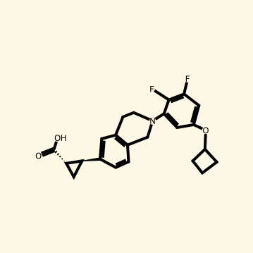 O=C(O)[C@H]1C[C@@H]1c1ccc2c(c1)CCN(c1cc(OC3CCC3)cc(F)c1F)C2